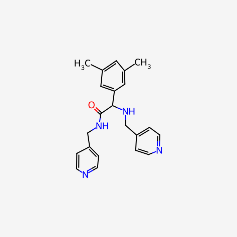 Cc1cc(C)cc(C(NCc2ccncc2)C(=O)NCc2ccncc2)c1